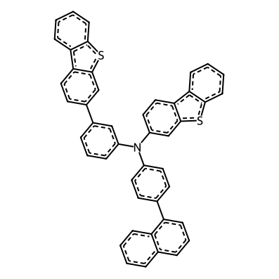 c1cc(-c2ccc3c(c2)sc2ccccc23)cc(N(c2ccc(-c3cccc4ccccc34)cc2)c2ccc3c(c2)sc2ccccc23)c1